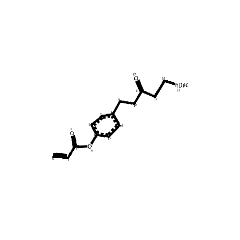 C=CC(=O)Oc1ccc(CCC(=O)CCCCCCCCCCCC)cc1